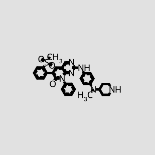 CN(c1ccc(Nc2ncc3cc(-c4ccccc4S(C)(=O)=O)c(=O)n(-c4ccccc4)c3n2)cc1)C1CCNCC1